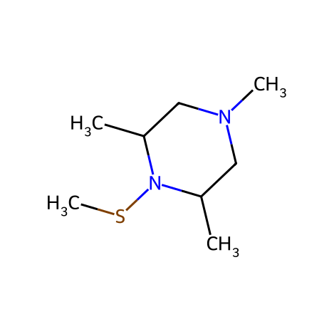 CSN1C(C)CN(C)CC1C